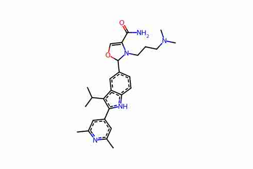 Cc1cc(-c2[nH]c3ccc(C4OC=C(C(N)=O)N4CCCN(C)C)cc3c2C(C)C)cc(C)n1